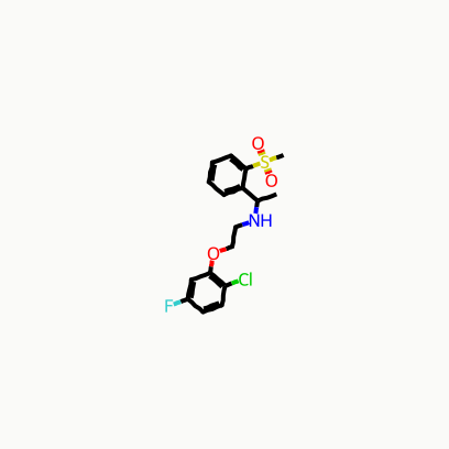 CC(NCCOc1cc(F)ccc1Cl)c1ccccc1S(C)(=O)=O